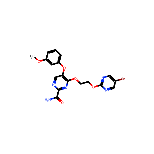 COc1cccc(Oc2[c]nc(C(N)=O)nc2OCCOc2ncc(Br)cn2)c1